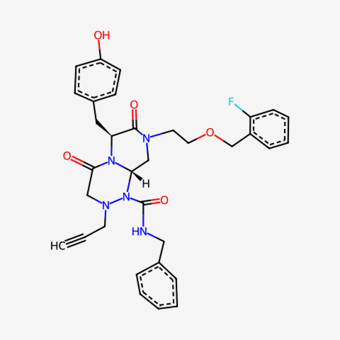 C#CCN1CC(=O)N2[C@@H](Cc3ccc(O)cc3)C(=O)N(CCOCc3ccccc3F)C[C@@H]2N1C(=O)NCc1ccccc1